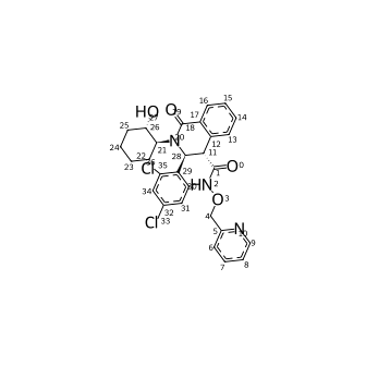 O=C(NOCc1ccccn1)[C@H]1c2ccccc2C(=O)N([C@H]2CCCC[C@@H]2O)[C@@H]1c1ccc(Cl)cc1Cl